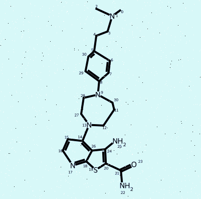 CN(C)CCc1ccc(N2CCCN(c3ccnc4sc(C(N)=O)c(N)c34)CC2)cc1